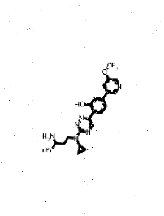 CCCC(N)CCN(c1ncc(-c2ccc(-c3cncc(OC(F)(F)F)c3)cc2O)nn1)C1CC1